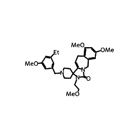 CCc1cc(CN2CCC3(CC2)C2=CCc4c(cc(OC)cc4OC)CN2C(=O)N3CCOC)cc(OC)c1